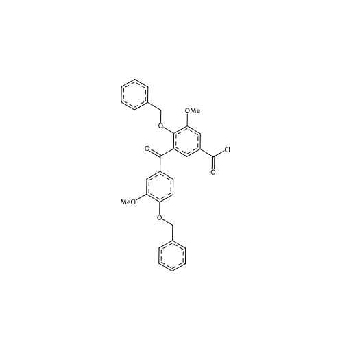 COc1cc(C(=O)c2cc(C(=O)Cl)cc(OC)c2OCc2ccccc2)ccc1OCc1ccccc1